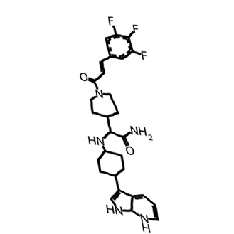 NC(=O)C(NC1CCC(C2=CNC3NC=CC=C23)CC1)C1CCN(C(=O)/C=C/c2cc(F)c(F)c(F)c2)CC1